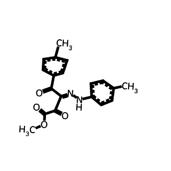 COC(=O)C(=O)C(=NNc1ccc(C)cc1)C(=O)c1ccc(C)cc1